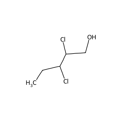 CCC(Cl)C(Cl)CO